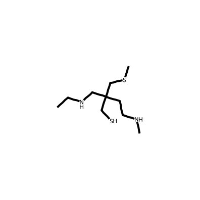 CCNCC(CS)(CCNC)CSC